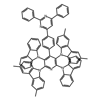 Cc1ccc2c(c1)c1cc(C)ccc1n2-c1nc(-n2c3ccccc3c3ccccc32)c(-n2c3ccc(C)cc3c3cc(C)ccc32)c(-c2ccc(-c3cc(-c4ccccc4)nc(-c4ccccc4)n3)cc2)c1-n1c2ccccc2c2ccccc21